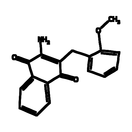 COc1ccccc1CC1=C(N)C(=O)c2ccccc2C1=O